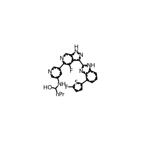 CCCC(O)Nc1cncc(-c2ncc3[nH]nc(-c4nc5c(-c6ccc(F)s6)cccc5[nH]4)c3c2F)c1